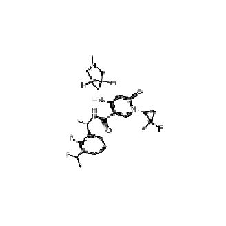 C[C@@H](NC(=O)c1cn([C@@H]2CC2(F)F)c(=O)cc1N[C@@H]1[C@@H]2CN(C)C[C@@H]21)c1cccc(C(F)F)c1F